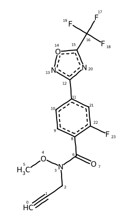 C#CCN(OC)C(=O)c1ccc(-c2noc(C(F)(F)F)n2)cc1F